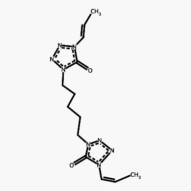 C/C=C\n1nnn(CCCCCn2nnn(/C=C/C)c2=O)c1=O